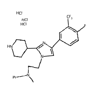 CC(C)N(C)CCn1cc(-c2ccc(F)c(C(F)(F)F)c2)nc1C1CCNCC1.Cl.Cl.Cl